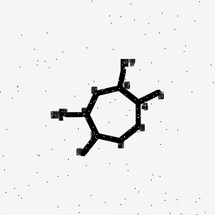 CC1CCC(C)C(F)CC1F